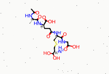 CC(=O)N[C@@H](C)C(=O)N[C@H](CCC(=O)N[C@H](CSC[C@H](N)C(O)O)C(=O)NCC(=O)O)C(=O)O